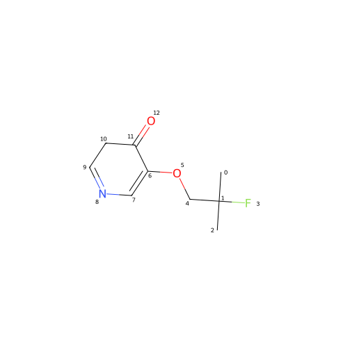 CC(C)(F)COC1=CN=CCC1=O